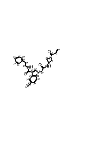 C=CC(=O)N1CC(NC(=O)Cn2cc(C(=O)NCCc3ccccc3)c3cc(Br)ccc32)C1